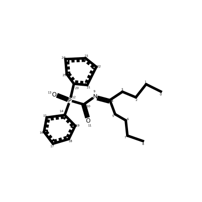 CCCCC(CCCC)=NC(=O)P(=O)(c1ccccc1)c1ccccc1